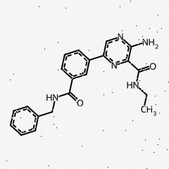 CCNC(=O)c1nc(-c2cccc(C(=O)NCc3ccccc3)c2)cnc1N